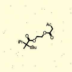 CC(=O)CC(=O)OCCOC(=O)C(C)(C(C)C)C(C)(C)C